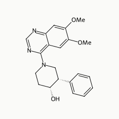 COc1cc2ncnc(N3CC[C@@H](O)[C@@H](c4ccccc4)C3)c2cc1OC